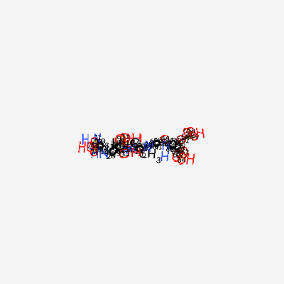 Cc1cc(N=Nc2c(S(=O)(=O)O)cc3cc(Nc4ccc(N)c(S(=O)(=O)O)c4)ccc3c2O)c(C)cc1N=Nc1ccc(C(=O)Nc2ccc3c(OCCCS(=O)(=O)O)cc(S(=O)(=O)O)cc3c2)cc1